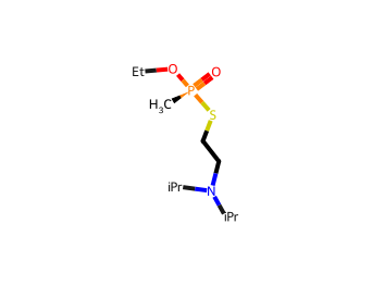 CCO[P@](C)(=O)SCCN(C(C)C)C(C)C